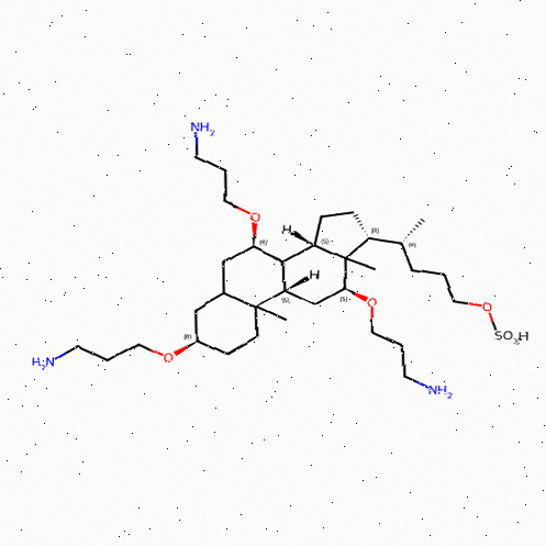 C[C@H](CCCOS(=O)(=O)O)[C@H]1CC[C@H]2C3[C@H](OCCCN)CC4C[C@H](OCCCN)CCC4(C)[C@H]3C[C@H](OCCCN)C12C